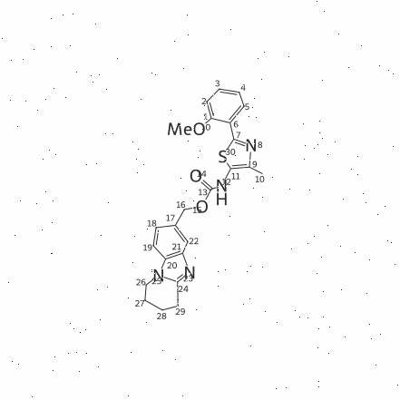 COc1ccccc1-c1nc(C)c(NC(=O)OCc2ccc3c(c2)nc2n3CCCC2)s1